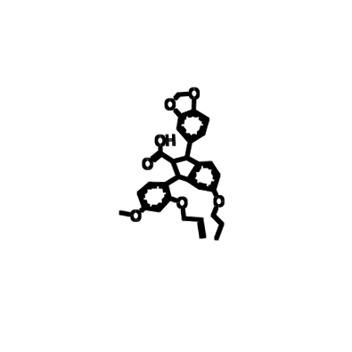 C=CCOc1cc(OC)ccc1C1c2cc(OCCC)ccc2C(c2ccc3c(c2)OCO3)C1C(=O)O